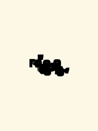 O=C(c1cc(C2CC2)on1)N1CCC2(CC1)OC1CC[C@@H](c3cc(F)cc(F)c3)N1C2=O